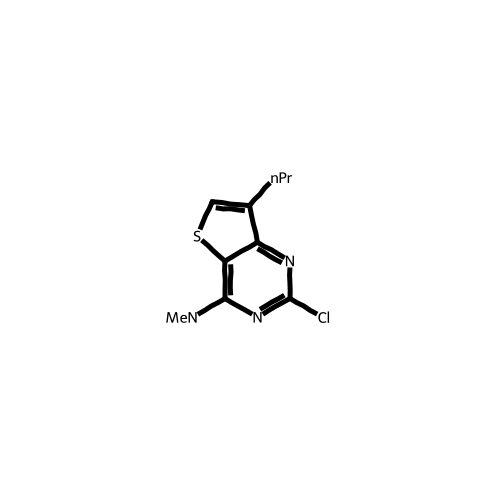 CCCc1csc2c(NC)nc(Cl)nc12